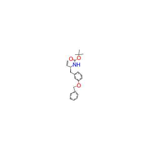 C=C[C@H](Cc1cccc(OCc2ccccc2)c1)NC(=O)OC(C)(C)C